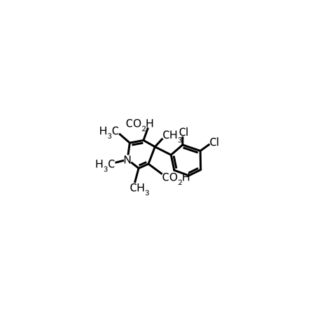 CC1=C(C(=O)O)C(C)(c2cccc(Cl)c2Cl)C(C(=O)O)=C(C)N1C